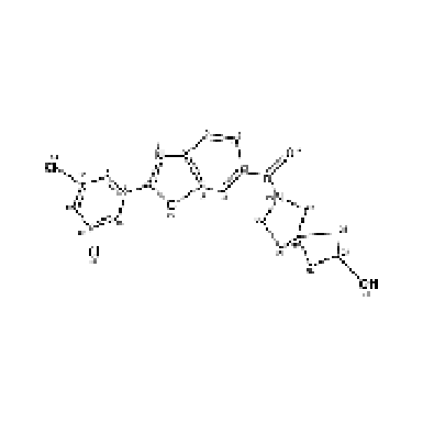 O=C(c1ccc2nc(-c3cc(Cl)cc(Cl)c3)oc2c1)N1CCC2(CC(O)C2)C1